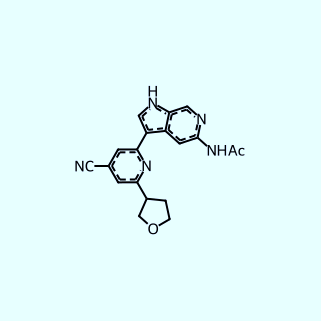 CC(=O)Nc1cc2c(-c3cc(C#N)cc(C4CCOC4)n3)c[nH]c2cn1